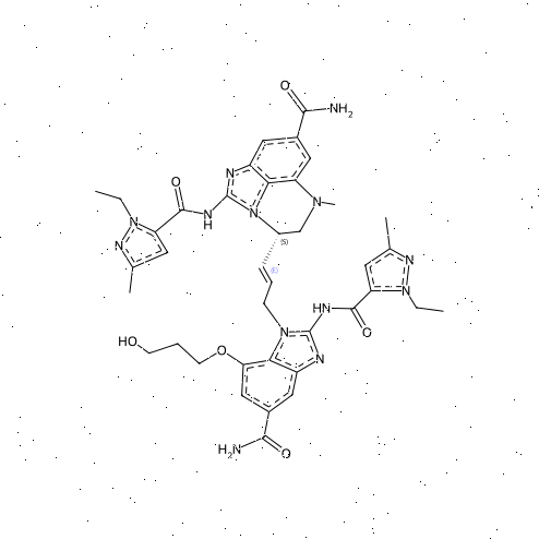 CCn1nc(C)cc1C(=O)Nc1nc2cc(C(N)=O)cc(OCCCO)c2n1C/C=C/[C@H]1CN(C)c2cc(C(N)=O)cc3nc(NC(=O)c4cc(C)nn4CC)n1c23